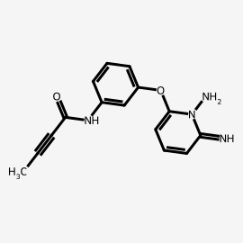 CC#CC(=O)Nc1cccc(Oc2cccc(=N)n2N)c1